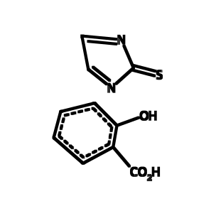 O=C(O)c1ccccc1O.S=C1N=CC=N1